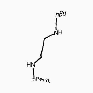 CCCCCNCCNCCCC